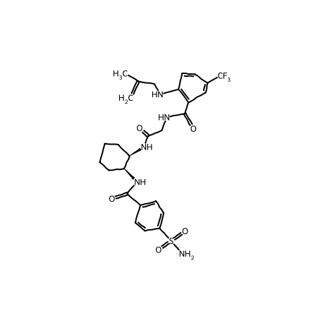 C=C(C)CNc1ccc(C(F)(F)F)cc1C(=O)NCC(=O)N[C@@H]1CCCC[C@@H]1NC(=O)c1ccc(S(N)(=O)=O)cc1